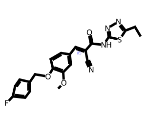 CCc1nnc(NC(=O)/C(C#N)=C/c2ccc(OCc3ccc(F)cc3)c(OC)c2)s1